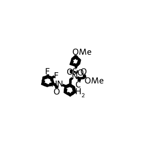 C=C(C(=O)OC)N(Cc1ccccc1NC(=O)c1cccc(F)c1F)S(=O)(=O)c1ccc(OC)cc1